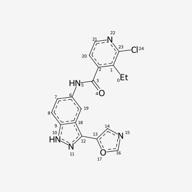 CCc1c(C(=O)Nc2ccc3[nH]nc(-c4cnco4)c3c2)ccnc1Cl